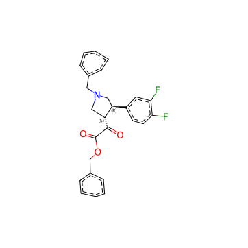 O=C(OCc1ccccc1)C(=O)[C@@H]1CN(Cc2ccccc2)C[C@H]1c1ccc(F)c(F)c1